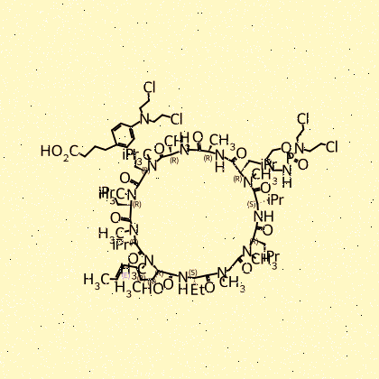 C/C=C/C[C@@H](C)[C@@H](O)[C@@H]1C(=O)N[C@@H](CC)C(=O)N(C)CC(=O)N(C)[C@H](CC(C)C)C(=O)N[C@@H](C(C)C)C(=O)N(C)[C@H](CC(C)C)C(=O)N[C@H](C)C(=O)N[C@H](C)C(=O)N(C)[C@H](CC(C)C)C(=O)N(C)[C@H](CC(C)C)C(=O)N(C)[C@H](C(C)C)C(=O)N1C.O=C(O)CCCc1ccc(N(CCCl)CCCl)cc1.O=P1(N(CCCl)CCCl)NCCCO1